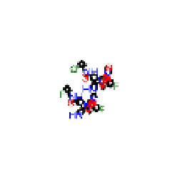 O=C(NCc1ccccc1Cl)c1ccc2c(c1)C1(CCNCC1)C(C1CC1)[N+]2(CC(=O)N1CCOCC1)S(=O)(=O)c1ccc(F)cc1.O=C(NCc1ccccc1F)c1ccc2c(c1)C1(CCNCC1)C(C1CC1)[N+]2(CC(=O)N1CCC1)S(=O)(=O)c1ccc(F)cc1